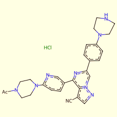 CC(=O)N1CCN(c2ccc(-c3nc(-c4ccc(N5CCNCC5)cc4)cn4ncc(C#N)c34)cn2)CC1.Cl